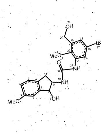 COc1ccc2c(c1)C(O)C(NC(=O)Nc1cc(C(C)(C)C)cc(CO)c1OC)C2